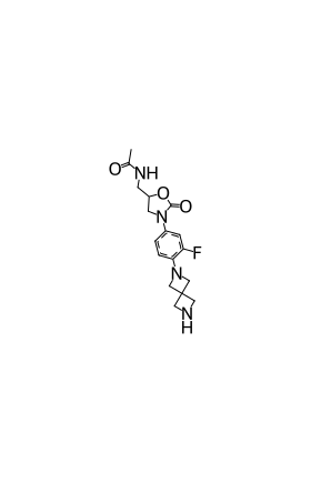 CC(=O)NCC1CN(c2ccc(N3CC4(CNC4)C3)c(F)c2)C(=O)O1